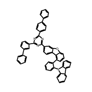 c1ccc(-c2ccc(-c3nc(-c4cccc(-c5ccccc5)c4)nc(-c4ccc5c(c4)oc4cccc(-c6ccccc6-n6c7ccccc7c7ccccc76)c45)n3)cc2)cc1